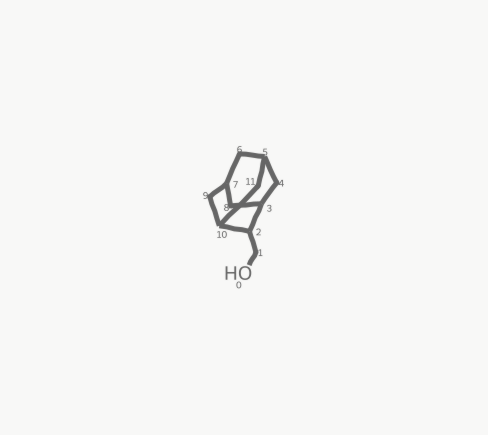 OCC1C2CC3CC(C2)CC1C3